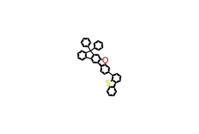 c1ccc(C2(c3ccccc3)c3ccccc3-c3cc4c(cc32)oc2cc(-c3cccc5c3sc3ccccc35)ccc24)cc1